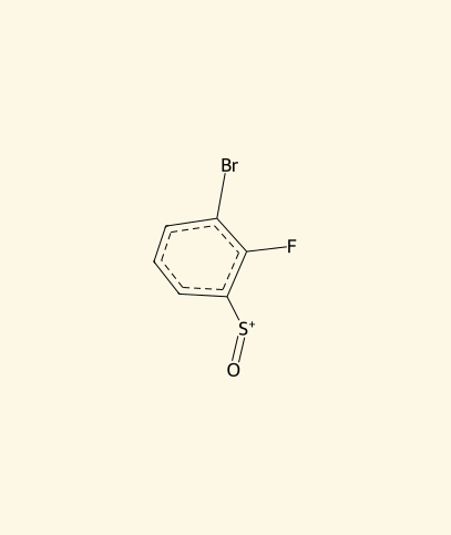 O=[S+]c1cccc(Br)c1F